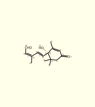 CC1=CC(=O)CC(C)(C)[C@@]1(O)/C=C/C(C)=C\C=O